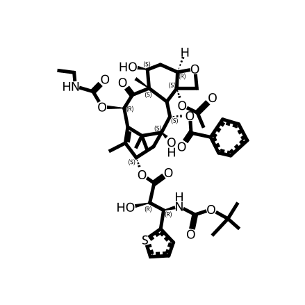 CCNC(=O)O[C@H]1C(=O)[C@@]2(C)C([C@H](OC(=O)c3ccccc3)[C@]3(O)C[C@H](OC(=O)[C@H](O)[C@@H](NC(=O)OC(C)(C)C)c4cccs4)C(C)=C1C3(C)C)[C@]1(OC(C)=O)CO[C@@H]1C[C@@H]2O